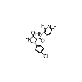 CN1C[C@H](c2ccc(Cl)cc2)[C@@H](C(=O)Nc2ccc(F)nc2F)C1=O